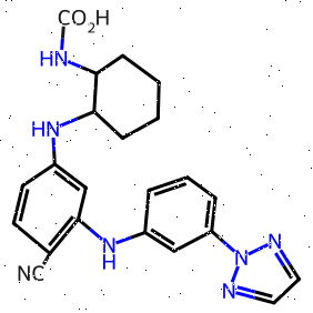 N#Cc1ccc(NC2CCCCC2NC(=O)O)cc1Nc1cccc(-n2nccn2)c1